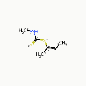 C/C=C(/C)SC(=S)NC